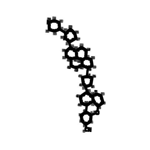 N#Cc1ccc2c(c1)Oc1cccc3c(-c4ccc(-c5ccc6ccc7c(-c8cccc(-c9ccncc9)n8)ccc8ccc5c6c87)cc4)ccc-2c13